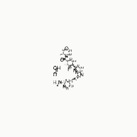 Nc1cc(C#Cc2cnc3ccc(-c4ccc(C(=O)N5CCOCC5)cc4F)nn23)ccn1.O=CO